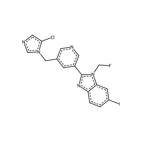 FCn1c(-c2cncc(Cn3cncc3Cl)c2)nc2ccc(I)cc21